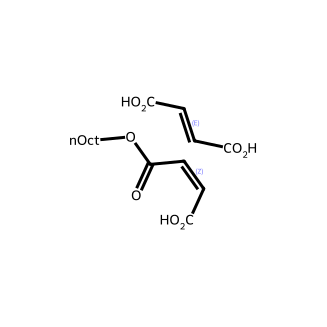 CCCCCCCCOC(=O)/C=C\C(=O)O.O=C(O)/C=C/C(=O)O